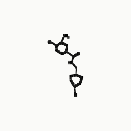 Nc1cc(C(=O)NCc2ccc(Cl)cc2)ccc1Cl